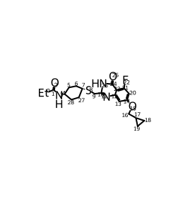 CCC(=O)N[C@H]1CC[C@H](SCc2nc3cc(OCC4CC4)cc(F)c3c(=O)[nH]2)CC1